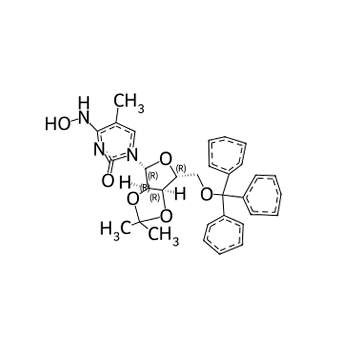 Cc1cn([C@@H]2O[C@H](COC(c3ccccc3)(c3ccccc3)c3ccccc3)[C@H]3OC(C)(C)O[C@H]32)c(=O)nc1NO